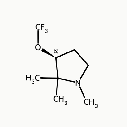 CN1CC[C@H](OC(F)(F)F)C1(C)C